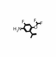 C=C(C)c1cc(N)c(F)cc1OC(F)F